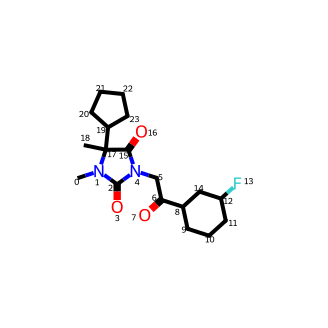 CN1C(=O)N(CC(=O)C2CCCC(F)C2)C(=O)C1(C)C1CCCC1